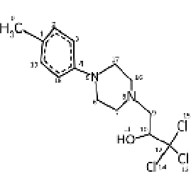 Cc1ccc(N2CCN(CC(O)C(Cl)(Cl)Cl)CC2)cc1